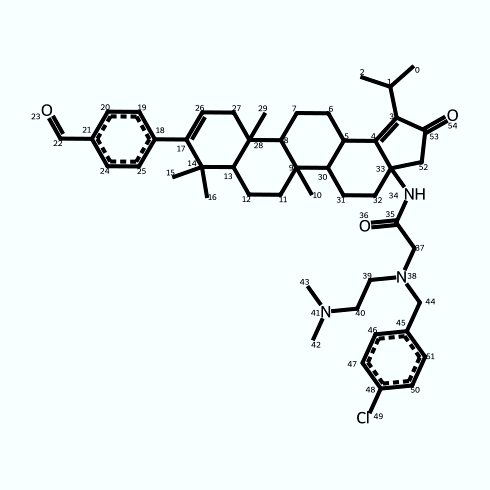 CC(C)C1=C2C3CCC4C(C)(CCC5C(C)(C)C(c6ccc(C=O)cc6)=CCC54C)C3CCC2(NC(=O)CN(CCN(C)C)Cc2ccc(Cl)cc2)CC1=O